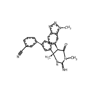 CN1C(=N)N[C@](C)(c2cc(-c3cccc(C#N)c3)cs2)[C@@H](c2ccc3nnn(C)c3c2)C1=O